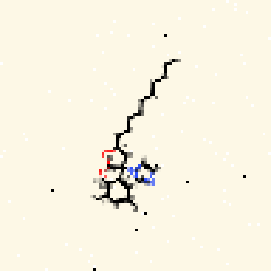 CCCCCCCCCCC1CC(c2cc(C)cc(C)c2C)(n2ccnc2)C(=O)O1